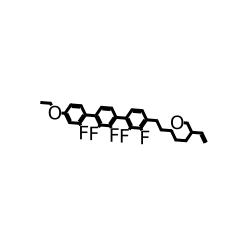 C=CC1CCC(CCc2ccc(-c3ccc(-c4ccc(OCC)cc4F)c(F)c3F)c(F)c2F)OC1